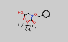 CC(C)(C)OC(=O)N(CC(=O)O)OCc1ccccc1